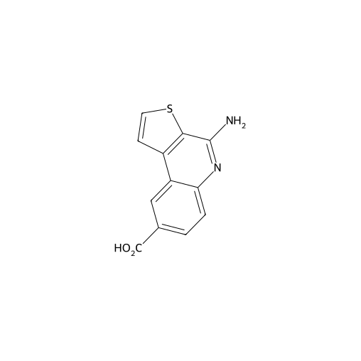 Nc1nc2ccc(C(=O)O)cc2c2ccsc12